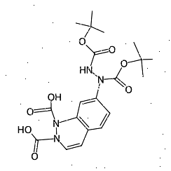 CC(C)(C)OC(=O)NN(C(=O)OC(C)(C)C)c1ccc2c(c1)N(C(=O)O)N(C(=O)O)C=C2